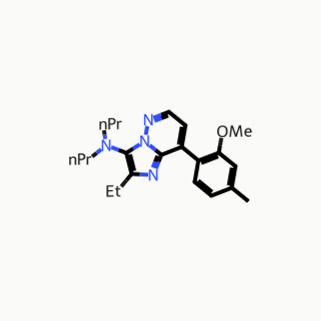 CCCN(CCC)c1c(CC)nc2c(-c3ccc(C)cc3OC)ccnn12